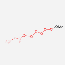 BOBOOOOOOOC